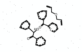 C=CCOCC=C.O=C(c1ccccc1)C(O)c1ccccc1.O=C(c1ccccc1)c1ccccc1